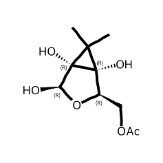 CC(=O)OC[C@H]1O[C@@H](O)[C@@]2(O)C(C)(C)[C@@]12O